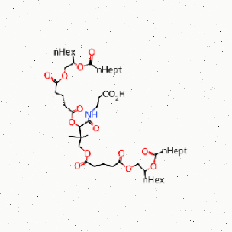 CCCCCCCC(=O)OC(CCCCCC)COC(=O)CCCC(=O)OCC(C)(C)C(OC(=O)CCCC(=O)OCC(CCCCCC)OC(=O)CCCCCCC)C(=O)NCCC(=O)O